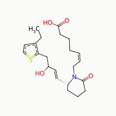 CCc1ccsc1CC(O)/C=C/[C@H]1CCCC(=O)N1C/C=C\CCCC(=O)O